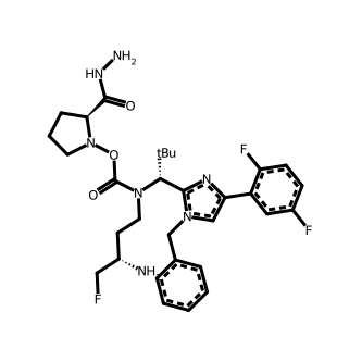 CC(C)(C)[C@H](c1nc(-c2cc(F)ccc2F)cn1Cc1ccccc1)N(CC[C@H](N)CF)C(=O)ON1CCC[C@H]1C(=O)NN